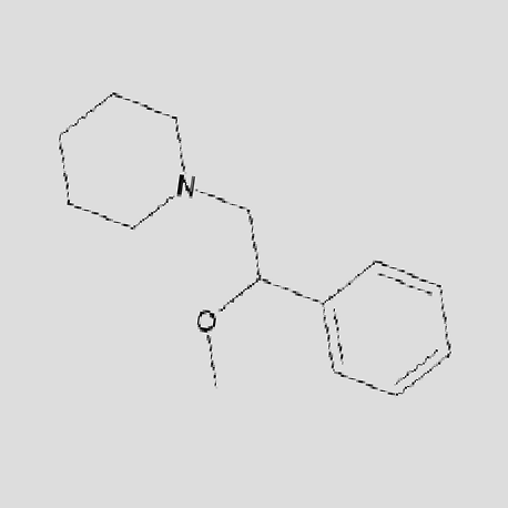 COC(CN1CCCCC1)c1ccccc1